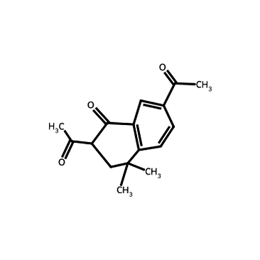 CC(=O)c1ccc2c(c1)C(=O)C(C(C)=O)CC2(C)C